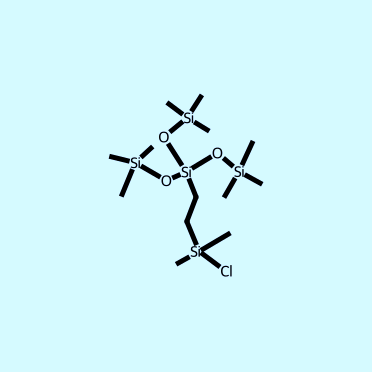 C[Si](C)(Cl)CC[Si](O[Si](C)(C)C)(O[Si](C)(C)C)O[Si](C)(C)C